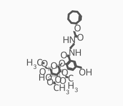 COC(=O)[C@H]1O[C@@H](Oc2ccc(CO)cc2C(=O)NCCNC(=O)COC2C#CCCCCC2)[C@H](OC(C)=O)[C@@H](OC(C)=O)[C@@H]1O